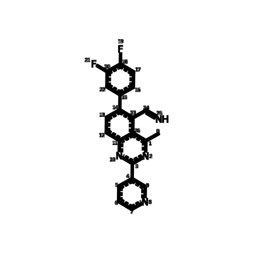 Cc1nc(-c2cccnc2)nc2ccc(-c3ccc(F)c(F)c3)c(C=N)c12